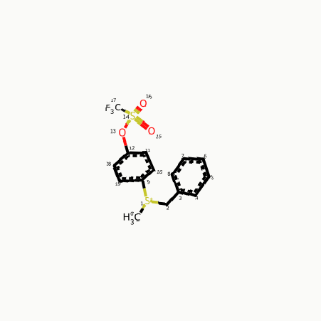 C[S+](Cc1ccccc1)c1ccc(OS(=O)(=O)C(F)(F)F)cc1